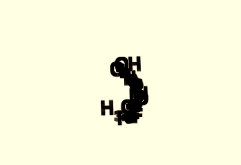 Cc1cc(-c2nc(-c3ccc4c(c3)CN(C3CC(C(=O)O)C3)C4)no2)ccc1-c1cc(F)ccc1F